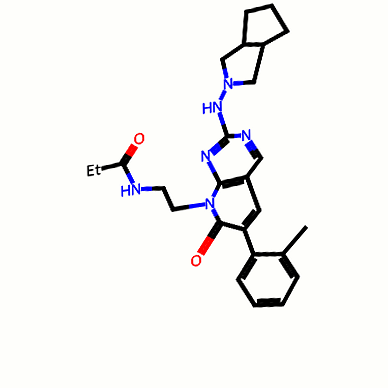 CCC(=O)NCCn1c(=O)c(-c2ccccc2C)cc2cnc(NN3CC4CCCC4C3)nc21